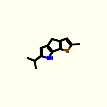 Cc1cc2c(s1)-c1[nH]c(C(C)C)cc1C2